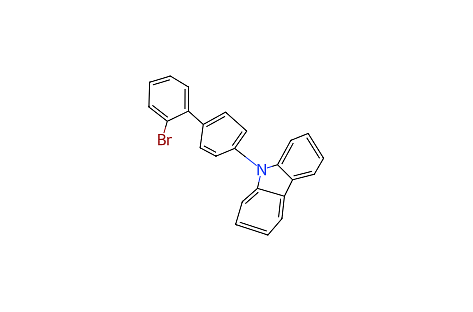 Brc1ccccc1-c1ccc(-n2c3ccccc3c3ccccc32)cc1